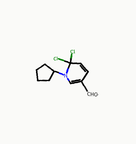 O=[C]C1=CN(C2CCCC2)C(Cl)(Cl)C=C1